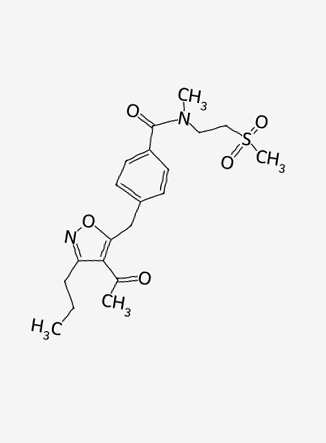 CCCc1noc(Cc2ccc(C(=O)N(C)CCS(C)(=O)=O)cc2)c1C(C)=O